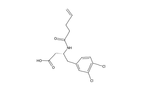 C=CCCC(=O)N[C@@H](CC(=O)O)Cc1ccc(Cl)c(Cl)c1